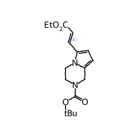 CCOC(=O)/C=C/c1ccc2n1CCN(C(=O)OC(C)(C)C)C2